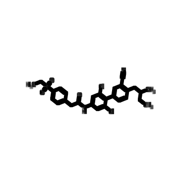 CCC(C)Cc1ccc(-c2c(Cl)cc(NC(=O)Cc3ccc(S(=O)(=O)CC)cc3)cc2Cl)cc1C#N